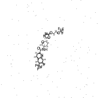 O=C(N[C@@H]1CC[C@@H](c2nnc(OCCOC(F)(F)F)o2)OC1)c1ccc2cc(C(F)(F)F)c(F)cc2n1